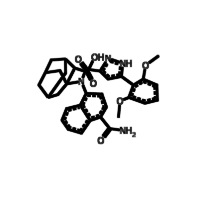 COc1cccc(OC)c1-c1cc(C(=O)N(c2ccc(C(N)=O)c3ccccc23)C23CC4CC(CC(C4)C2C(=O)O)C3)n[nH]1